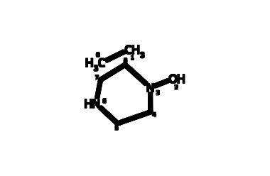 CC.ON1CCNCC1